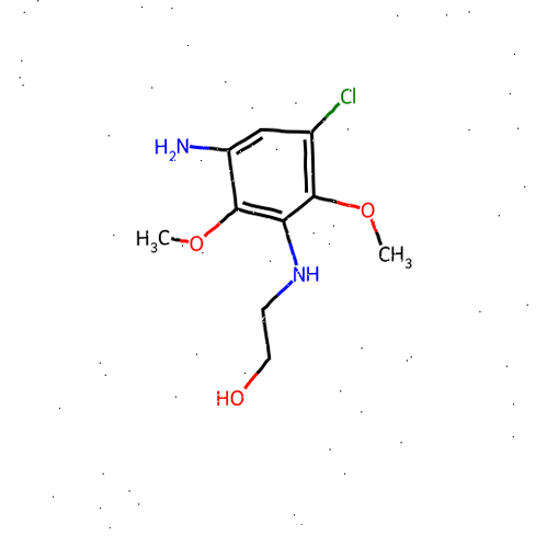 COc1c(N)cc(Cl)c(OC)c1NCCO